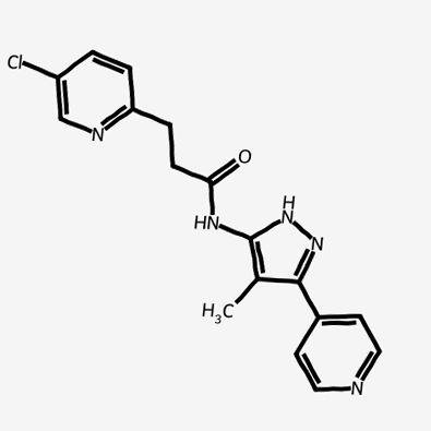 Cc1c(-c2ccncc2)n[nH]c1NC(=O)CCc1ccc(Cl)cn1